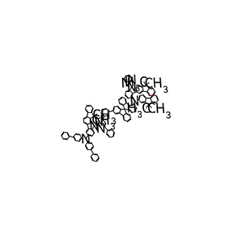 CC1(C)c2ccccc2-c2ccc(N(c3cccc4c3-c3ccccc3C43c4ccccc4-c4cc(-c5cccc(-c6cc(-c7ccccc7)nc(-n7c8ccc(N(c9ccc(-c%10ccccc%10)cc9)c9ccc(-c%10ccccc%10)cc9)cc8c8ccc9c(c87)C(C)(C)c7ccccc7-9)n6)c5)ccc43)c3cccc4c3c3cc5c(cc3n4-c3ncccn3)C(C)(C)c3ccccc3-5)cc21